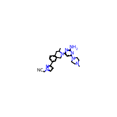 CC1Cc2ccc(-c3ccn(CC#N)n3)cc2CN1c1cc(N2CCN(C)CC2)nc(N)n1